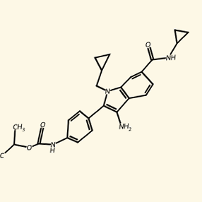 CC(C)OC(=O)Nc1ccc(-c2c(N)c3ccc(C(=O)NC4CC4)cc3n2CC2CC2)cc1